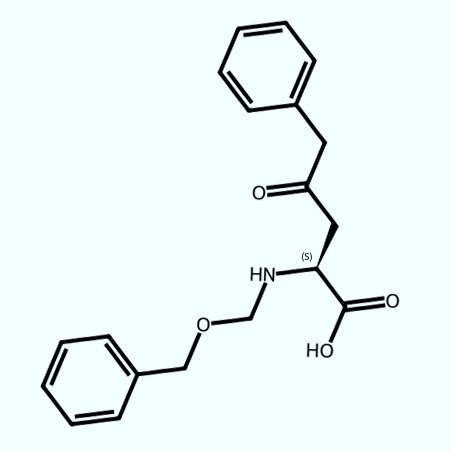 O=C(Cc1ccccc1)C[C@H](NCOCc1ccccc1)C(=O)O